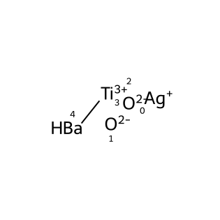 [Ag+].[O-2].[O-2].[Ti+3][BaH]